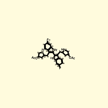 CC(=O)OC1CNC(Cc2c(-c3[nH]c4cc(F)ccc4c3CC3CC(OC(C)=O)CN3)[nH]c3cc(F)ccc23)C1